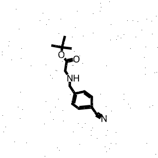 CC(C)(C)OC(=O)CNCc1ccc(C#N)cc1